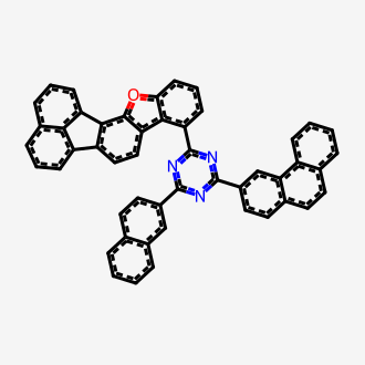 c1ccc2cc(-c3nc(-c4ccc5ccc6ccccc6c5c4)nc(-c4cccc5oc6c7c(ccc6c45)-c4cccc5cccc-7c45)n3)ccc2c1